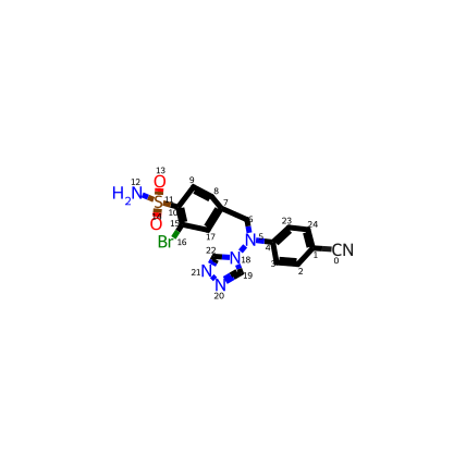 N#Cc1ccc(N(Cc2ccc(S(N)(=O)=O)c(Br)c2)n2cnnc2)cc1